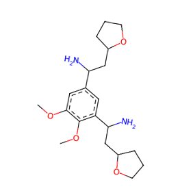 COc1cc(C(N)CC2CCCO2)cc(C(N)CC2CCCO2)c1OC